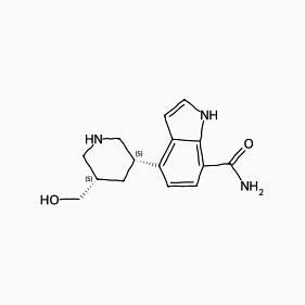 NC(=O)c1ccc([C@H]2CNC[C@@H](CO)C2)c2cc[nH]c12